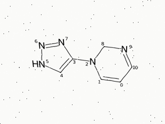 C1=CN(c2c[nH]nn2)CN=C1